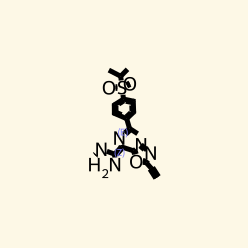 C#Cc1nnc(C(/N=C(\C)c2ccc(S(=O)(=O)C(C)C)cc2)=C(\N)N=C)o1